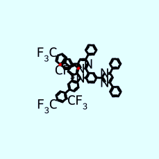 FC(F)(F)c1ccc(-c2ccc3c(c2)c2cc(-c4ccc(C(F)(F)F)cc4C(F)(F)F)ccc2n3-c2ccc(-c3nc(-c4ccccc4)cc(-c4ccccc4)n3)cc2-c2nc(-c3ccccc3)cc(-c3ccccc3)n2)c(C(F)(F)F)c1